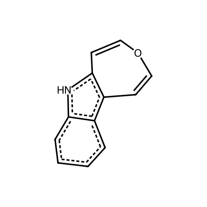 C1=Cc2[nH]c3ccccc3c2C=CO1